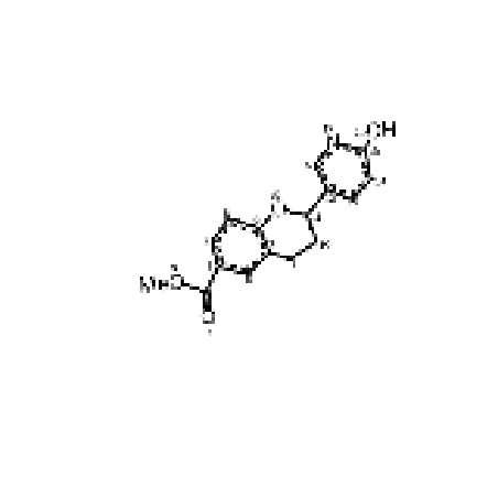 COC(=O)c1ccc2c(c1)CCC(c1ccc(O)nc1)O2